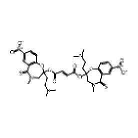 CN(C)CCC1(OC(=O)/C=C/C(=O)OC2(CCN(C)C)CN(C)C(=S)c3cc([N+](=O)[O-])ccc3O2)CN(C)C(=S)c2cc([N+](=O)[O-])ccc2O1